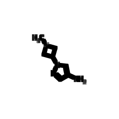 CN1CC(n2cc(N)cn2)C1